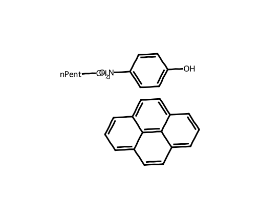 CCCCCC.O=[N+]([O-])c1ccc(O)cc1.c1cc2ccc3cccc4ccc(c1)c2c34